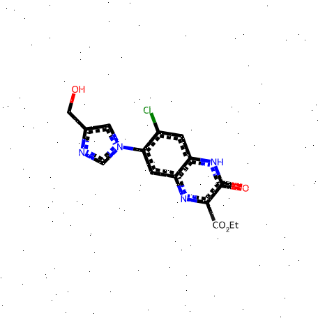 CCOC(=O)c1nc2cc(-n3cnc(CO)c3)c(Cl)cc2[nH]c1=O